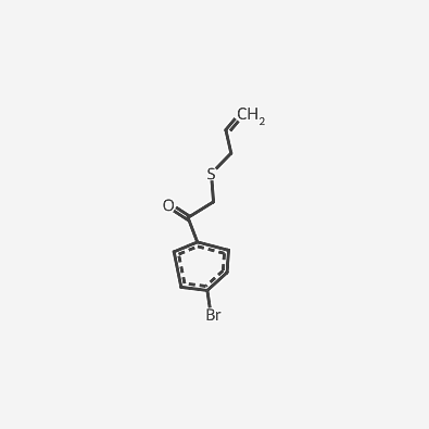 C=CCSCC(=O)c1ccc(Br)cc1